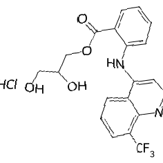 Cl.O=C(OCC(O)CO)c1ccccc1Nc1ccnc2c(C(F)(F)F)cccc12